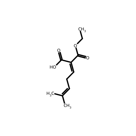 CCOC(=O)C(=CCC=C(C)C)C(=O)O